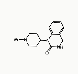 CC(C)N1CCC(N2C(=O)NCc3ccccc32)CC1